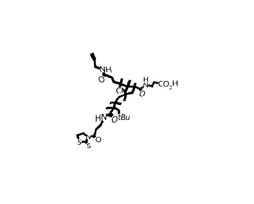 C#CCNC(=O)CCC(C)(C#N)C(C)(C)C(C)(CC(C)(C)CC(C)(C)C(C)(CC(C)(C)C)C(=O)NCCC(=O)N1CCSC1=S)C(=O)NCCC(=O)O